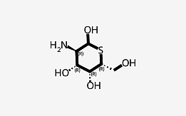 N[C@H]1C(O)S[C@H](CO)[C@H](O)[C@@H]1O